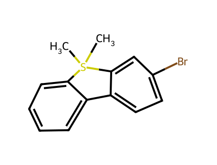 CS1(C)c2ccccc2-c2ccc(Br)cc21